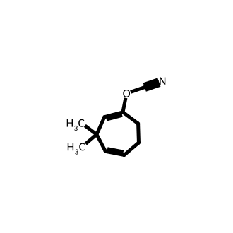 CC1(C)C=CCCC(OC#N)=C1